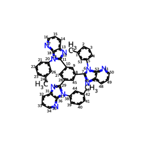 Cc1cccc(-n2c(-c3cc(-c4nc5cccnc5n4-c4cccc(C)c4)cc(-c4nc5cccnc5n4-c4cccc(C)c4)c3)nc3cccnc32)c1